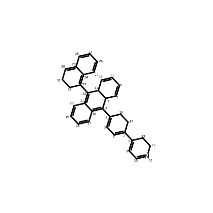 C1=CC2C(C3=CC=C(C4=CC=NCC4)CC3)=c3ccccc3=C(C3=c4ccccc4=CCC3)C2C=C1